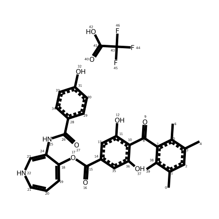 Cc1cc(C)c(C)c(C(=O)c2c(O)cc(C(=O)OC3=CC=CNC=C3NC(=O)c3ccc(O)cc3)cc2O)c1C.O=C(O)C(F)(F)F